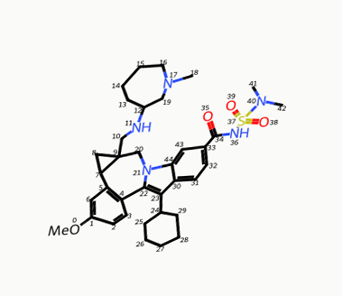 COc1ccc2c(c1)C1CC1(CNC1CCCCN(C)C1)Cn1c-2c(C2CCCCC2)c2ccc(C(=O)NS(=O)(=O)N(C)C)cc21